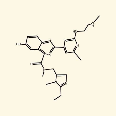 CCc1ncc(CN(C)C(=O)c2nc(-c3cc(C)nc(NCCNC)c3)nc3ccc(O)cc23)n1C